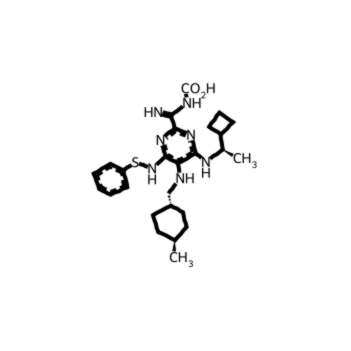 C[C@@H](Nc1nc(C(=N)NC(=O)O)nc(NSc2ccccc2)c1NC[C@H]1CC[C@H](C)CC1)C1CCC1